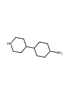 NC1CCC(C2CCNCC2)CC1